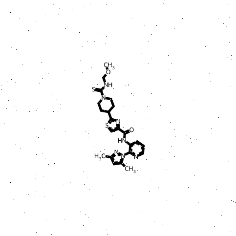 COCNC(=S)N1CCC(c2nc(C(=O)Nc3cccnc3-n3nc(C)cc3C)cs2)CC1